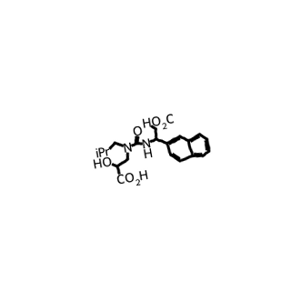 CC(C)CN(CC(O)C(=O)O)C(=O)NC(CC(=O)O)c1ccc2ccccc2c1